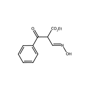 CCOC(=O)C(C=NO)C(=O)c1ccccc1